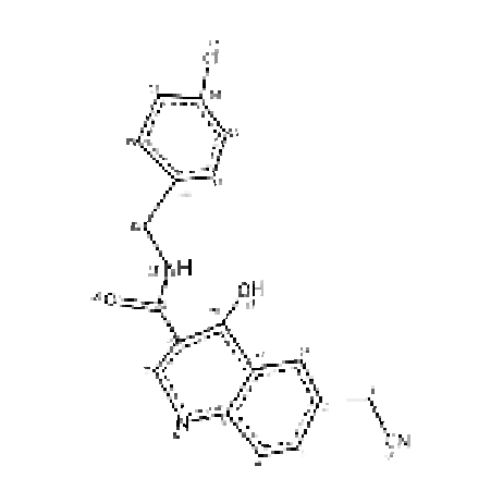 N#CCc1ccc2ncc(C(=O)NCc3ccc(Cl)cc3)c(O)c2c1